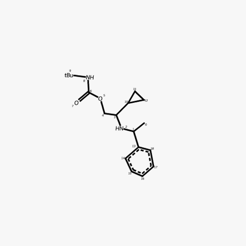 CC(NC(COC(=O)NC(C)(C)C)C1CC1)c1ccccc1